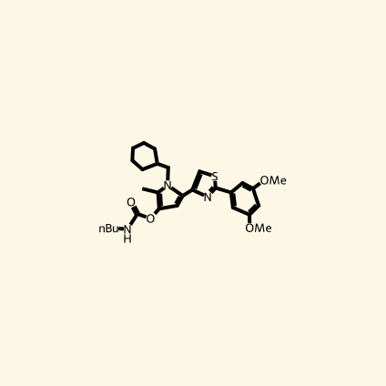 CCCCNC(=O)Oc1cc(-c2csc(-c3cc(OC)cc(OC)c3)n2)n(CC2CCCCC2)c1C